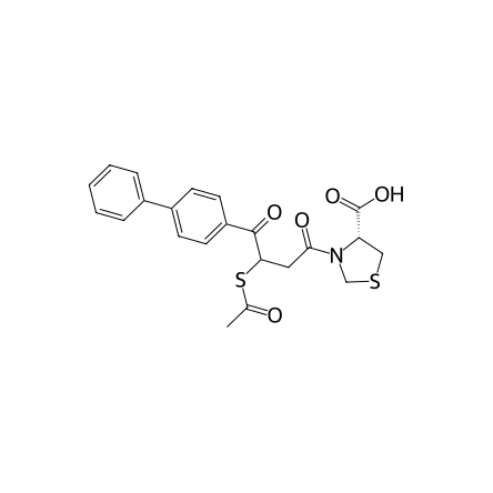 CC(=O)SC(CC(=O)N1CSC[C@H]1C(=O)O)C(=O)c1ccc(-c2ccccc2)cc1